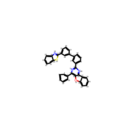 c1ccc(-c2nc(-c3cccc(-c4cccc(-c5nc6ccccc6s5)c4)c3)nc3c2oc2ccccc23)cc1